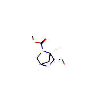 CC(C)(C)OC(=O)N1C[C@H]2C[C@@H]1[C@H](CO)N2